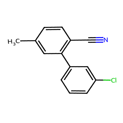 Cc1ccc(C#N)c(-c2cccc(Cl)c2)c1